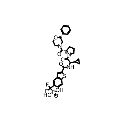 O=C(NC(C(=O)N1CCC[C@H]1C(=O)N1CCO[C@H](c2ccccc2)C1)C1CC1)c1cc2cc(C(F)(F)P(=O)(O)O)ccc2s1